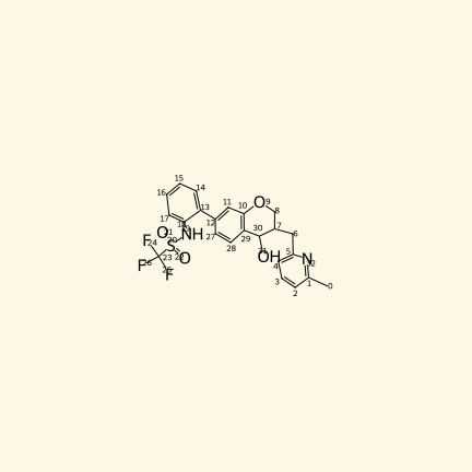 Cc1cccc(CC2COc3cc(-c4ccccc4NS(=O)(=O)C(F)(F)F)ccc3C2O)n1